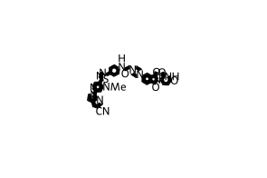 CNc1cc(-n2ccc3cc(C#N)cnc32)ncc1-c1nnc(C2CCC(NC(=O)CN3CCN(c4ccc5c(c4)C(=O)N(C4CCC(=O)NC4=O)C5=O)CC3)CC2)s1